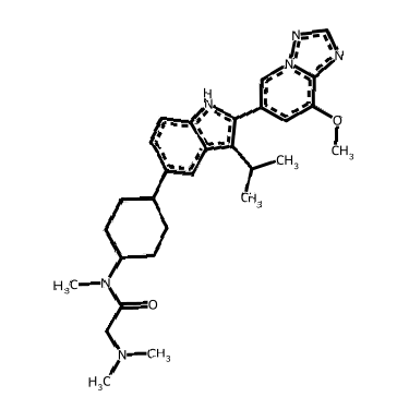 COc1cc(-c2[nH]c3ccc(C4CCC(N(C)C(=O)CN(C)C)CC4)cc3c2C(C)C)cn2ncnc12